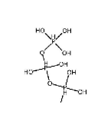 C[PH](O)(O)O[PH](O)(O)O[PH](O)(O)O